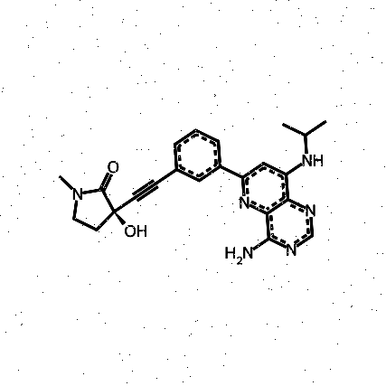 CC(C)Nc1cc(-c2cccc(C#C[C@]3(O)CCN(C)C3=O)c2)nc2c(N)ncnc12